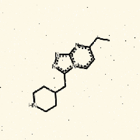 CCc1ccn2c(CC3CCNCC3)nnc2n1